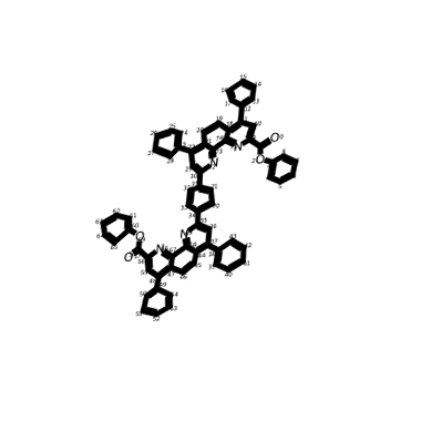 O=C(Oc1ccccc1)c1cc(-c2ccccc2)c2ccc3c(-c4ccccc4)cc(-c4ccc(-c5cc(-c6ccccc6)c6ccc7c(-c8ccccc8)cc(C(=O)Oc8ccccc8)nc7c6n5)cc4)nc3c2n1